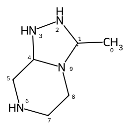 C[C]1NNC2CNCCN12